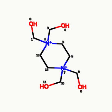 OC[N+]1(CO)CC[N+](CO)(CO)CC1